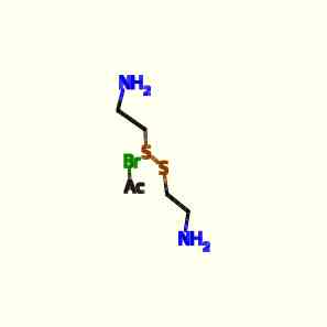 CC(=O)Br.NCCSSCCN